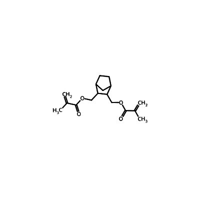 C=C(C)C(=O)OCC1C2CCC(C2)C1COC(=O)C(=C)C